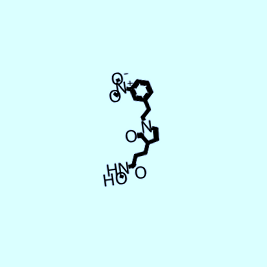 O=C(CCC1C=CN(CCc2cccc([N+](=O)[O-])c2)C1=O)NO